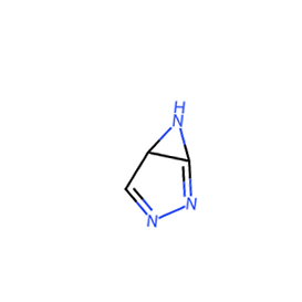 C1=NN=C2NC12